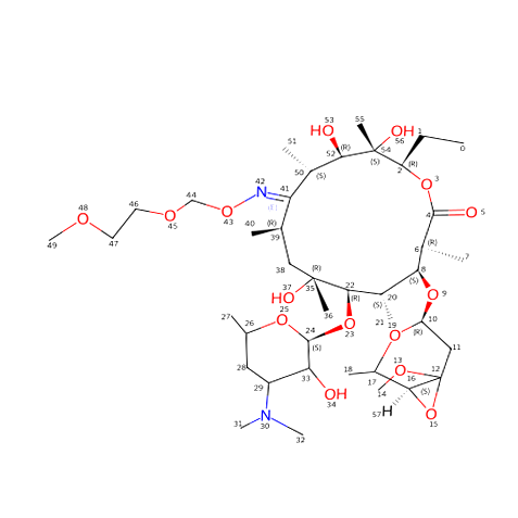 CC[C@H]1OC(=O)[C@H](C)[C@@H](O[C@H]2CC3(OC)O[C@H]3C(C)O2)[C@H](C)[C@@H](O[C@@H]2OC(C)CC(N(C)C)C2O)[C@](C)(O)C[C@@H](C)/C(=N\OCOCCOC)[C@H](C)[C@@H](O)[C@]1(C)O